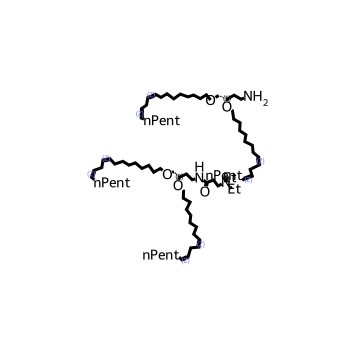 CCCCC/C=C\C/C=C\CCCCCCCCOC[C@H](CCN)OCCCCCCCC/C=C\C/C=C\CCCCC.CCCCC/C=C\C/C=C\CCCCCCCCOC[C@H](CCNC(=O)CCN(CC)CC)OCCCCCCCC/C=C\C/C=C\CCCCC